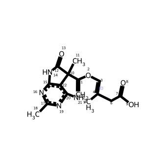 C=C(O/C=C(\C)CC(=O)O)C1(C)C(=O)Nc2nc(C)nc(N)c21